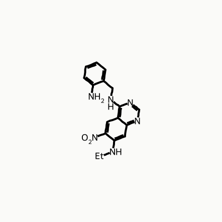 CCNc1cc2ncnc(NCc3ccccc3N)c2cc1[N+](=O)[O-]